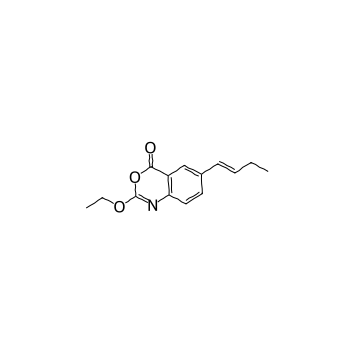 CCC=Cc1ccc2nc(OCC)oc(=O)c2c1